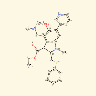 CCOC(=O)C1c2c(cc(-c3cccnc3)c(O)c2CN(C)C)N(C)C1CSc1ccccc1